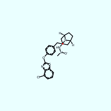 C[S+]([O-])N[C@@H]1C[C@H]2CC[C@@H](C1)N2CCc1ccc(Oc2nc3c(Cl)cccc3s2)cc1